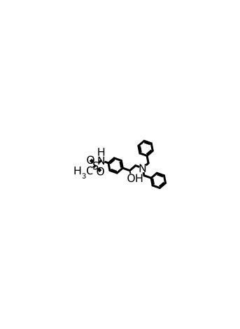 CS(=O)(=O)Nc1ccc([C@H](O)CN(Cc2ccccc2)Cc2ccccc2)cc1